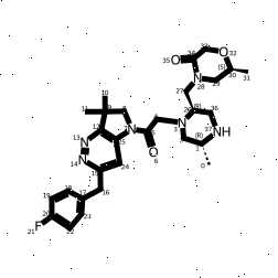 C[C@@H]1CN(CC(=O)N2CC(C)(C)c3nnc(Cc4ccc(F)cc4)cc32)[C@@H](CN2C[C@H](C)OCC2=O)CN1